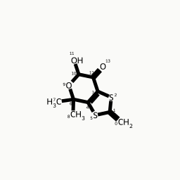 C=C1SC2=C(S1)C(C)(C)OC(O)C2=O